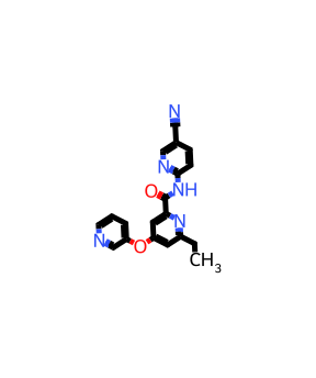 CCc1cc(Oc2cccnc2)cc(C(=O)Nc2ccc(C#N)cn2)n1